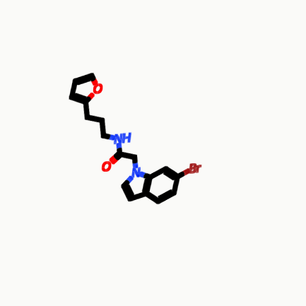 O=C(Cn1ccc2ccc(Br)cc21)NCCCc1ccco1